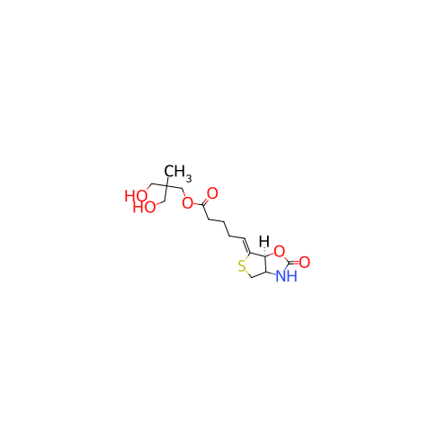 CC(CO)(CO)COC(=O)CCCC=C1SCC2NC(=O)O[C@H]12